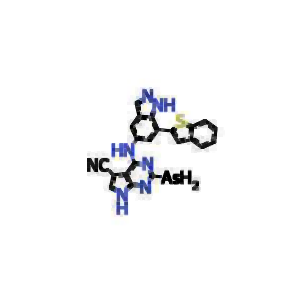 N#Cc1c[nH]c2nc([AsH2])nc(Nc3cc(-c4cc5ccccc5s4)c4[nH]ncc4c3)c12